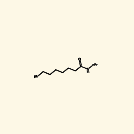 CCCNC(=O)CCCCCCC(C)C